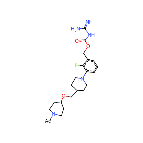 CC(=O)N1CCC(OCC2CCN(c3cccc(COC(=O)NC(=N)N)c3F)CC2)CC1